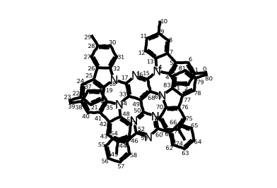 Cc1ccc2c(c1)c1cc(C)ccc1n2-c1nc(-n2c3ccc(C)cc3c3cc(C)ccc32)c(-n2c3ccc(C)cc3c3cc(C)ccc32)c(-c2nc(-c3ccccc3)nc(-c3ccccc3)n2)c1-n1c2ccc(C)cc2c2cc(C)ccc21